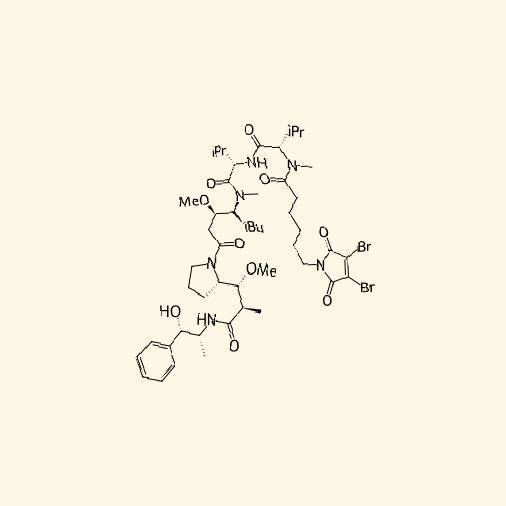 CC[C@H](C)[C@@H]([C@@H](CC(=O)N1CCC[C@H]1[C@H](OC)[C@@H](C)C(=O)N[C@H](C)[C@@H](O)c1ccccc1)OC)N(C)C(=O)[C@@H](NC(=O)[C@H](C(C)C)N(C)C(=O)CCCCCN1C(=O)C(Br)=C(Br)C1=O)C(C)C